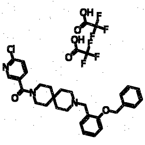 O=C(O)C(F)(F)F.O=C(O)C(F)(F)F.O=C(c1ccc(Cl)nc1)N1CCC2(CCN(Cc3ccccc3OCc3ccccc3)CC2)CC1